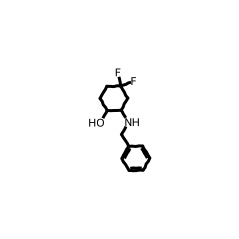 OC1CCC(F)(F)CC1NCc1ccccc1